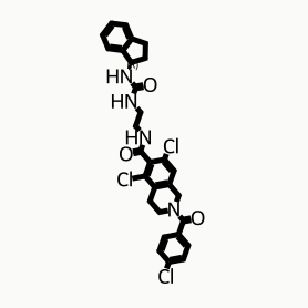 O=C(NCCNC(=O)c1c(Cl)cc2c(c1Cl)CCN(C(=O)c1ccc(Cl)cc1)C2)N[C@@H]1CCc2ccccc21